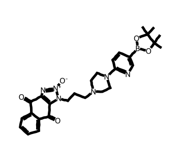 CC1(C)OB(c2ccc(N3CCN(CCCn4c5c(n[n+]4[O-])C(=O)c4ccccc4C5=O)CC3)nc2)OC1(C)C